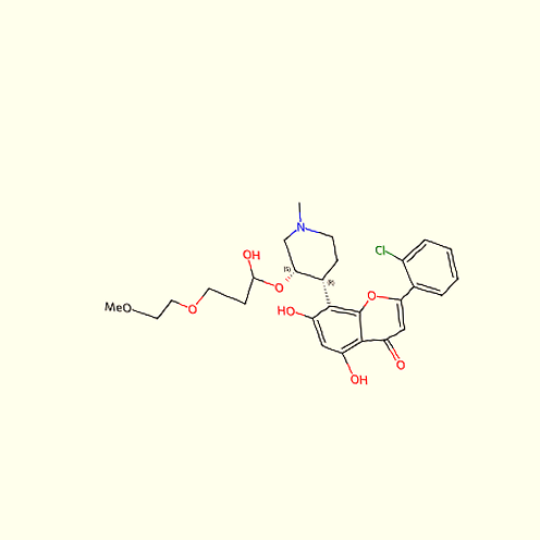 COCCOCCC(O)O[C@@H]1CN(C)CC[C@@H]1c1c(O)cc(O)c2c(=O)cc(-c3ccccc3Cl)oc12